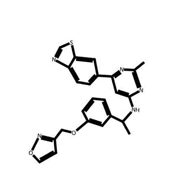 Cc1nc(NC(C)c2cccc(OCc3ccon3)c2)cc(-c2ccc3ncsc3c2)n1